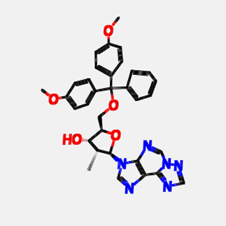 COc1ccc(C(OC[C@H]2O[C@@H](n3cnc4c3ncn3ncnc43)[C@H](C)[C@@H]2O)(c2ccccc2)c2ccc(OC)cc2)cc1